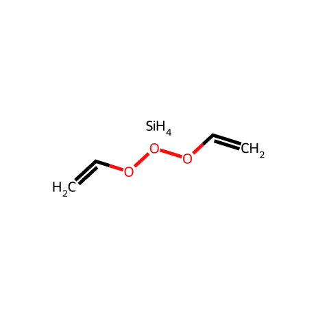 C=COOOC=C.[SiH4]